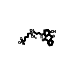 C[N+](C)(CCCCS(=O)(=O)[O-])CCCNc1ccc(O)c2c1C(=O)c1ccccc1C2=O